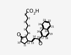 O=C(O)CCCCCCC1C(=O)CCC1C=CC(=O)c1ccc2ccccc2c1